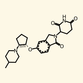 CC1CCN([C@H]2CCC[C@@H]2Oc2ccc3c(c2)CN(C2CCC(=O)NC2=O)C3=O)CC1